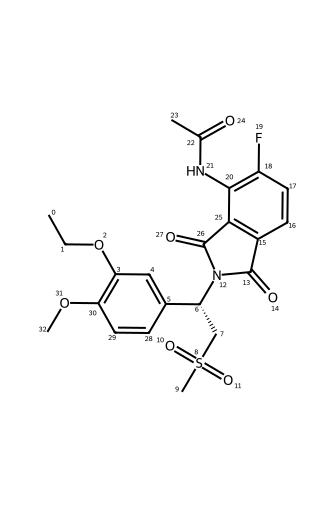 CCOc1cc([C@@H](CS(C)(=O)=O)N2C(=O)c3ccc(F)c(NC(C)=O)c3C2=O)ccc1OC